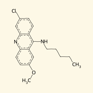 CCCCCNc1c2ccc(Cl)cc2nc2ccc(OC)cc12